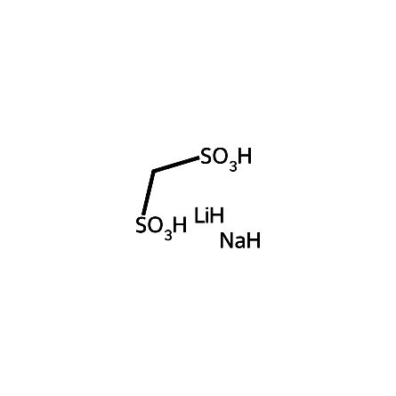 O=S(=O)(O)CS(=O)(=O)O.[LiH].[NaH]